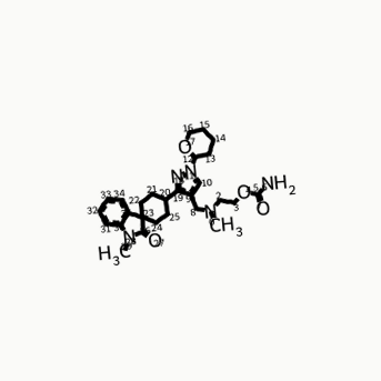 CN(CCOC(N)=O)Cc1cn(C2CCCCO2)nc1C1CCC2(CC1)C(=O)N(C)c1ccccc12